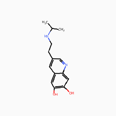 CC(C)NCCc1cnc2cc(O)c(O)cc2c1